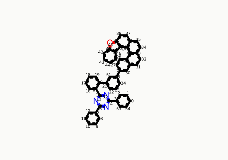 c1ccc(-c2nc(-c3ccccc3)nc(-c3ccccc3-c3cccc(-c4ccc5c(ccc6ccc7ccc8oc9ccccc9c8c7c65)c4)c3)n2)cc1